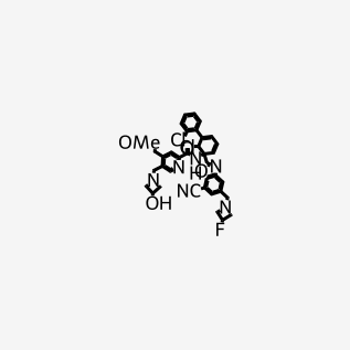 COCc1cc(C(=O)NC2(c3nc4cc(CN5CC(F)C5)cc(C#N)c4o3)C=CC=C(c3ccccc3Cl)C2Cl)ncc1CN1CC(O)C1